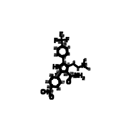 CN(C)CCc1c(-c2ccc(C(F)(F)F)cc2)[nH]c(-c2ccc([N+](=O)[O-])cc2)c1C(N)=O